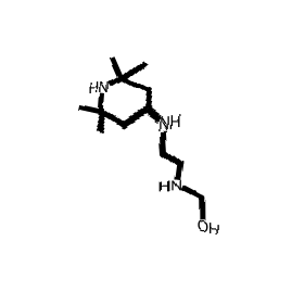 CC1(C)CC(NCCNCO)CC(C)(C)N1